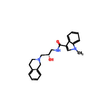 Cn1cc(C(=O)NC[C@H](O)CN2CCc3ccccc3C2)c2ccccc21